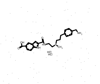 CN(CCCc1ccc(CN)cc1)CCNC(=O)c1cc2cc(C(=O)O)ccc2[nH]1.Cl.Cl